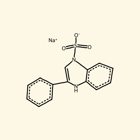 O=S(=O)([O-])N1C=C(c2ccccc2)Nc2ccccc21.[Na+]